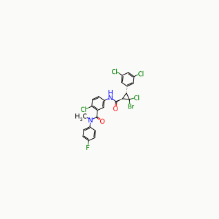 CN(C(=O)c1cc(NC(=O)[C@H]2[C@H](c3cc(Cl)cc(Cl)c3)C2(Cl)Br)ccc1Cl)c1ccc(F)cc1